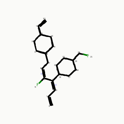 C=C/C=C(\C(F)=C/CC1CCC(C=C)CC1)C1CCC(CF)CC1